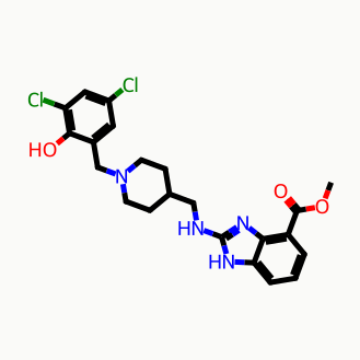 COC(=O)c1cccc2[nH]c(NCC3CCN(Cc4cc(Cl)cc(Cl)c4O)CC3)nc12